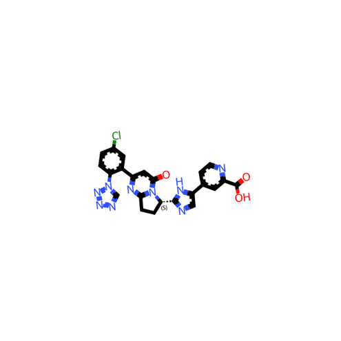 O=C(O)c1cc(-c2cnc([C@@H]3CCc4nc(-c5cc(Cl)ccc5-n5cnnn5)cc(=O)n43)[nH]2)ccn1